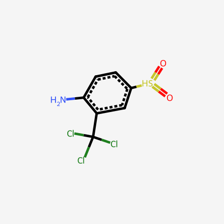 Nc1ccc([SH](=O)=O)cc1C(Cl)(Cl)Cl